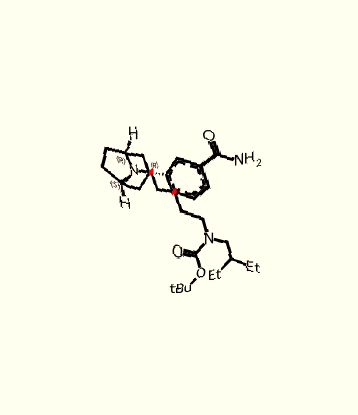 CCC(CC)CN(CCCCCN1[C@@H]2CC[C@H]1C[C@@H](c1cccc(C(N)=O)c1)C2)C(=O)OC(C)(C)C